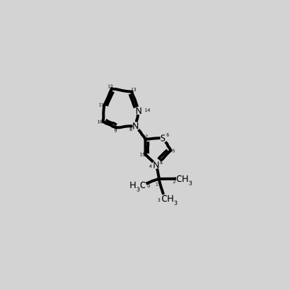 CC(C)(C)[n+]1csc(N2C=CC=CC=N2)c1